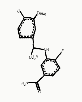 COc1cc(C(Nc2cc(C(N)=O)ccc2F)C(=O)O)ccc1Cl